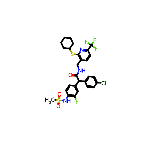 CS(=O)(=O)Nc1ccc(C(C(=O)NCc2ccc(C(F)(F)F)nc2SC2CCCCC2)c2ccc(Cl)cc2)cc1F